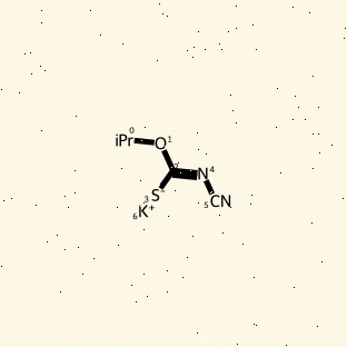 CC(C)OC([S-])=NC#N.[K+]